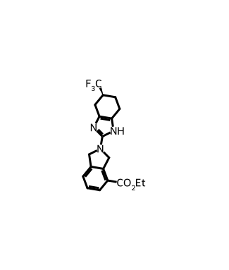 CCOC(=O)c1cccc2c1CN(c1nc3c([nH]1)CC[C@H](C(F)(F)F)C3)C2